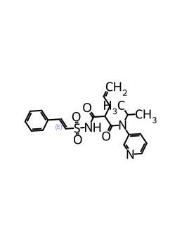 C=CCC(C(=O)NS(=O)(=O)/C=C/c1ccccc1)C(=O)N(c1cccnc1)C(C)C